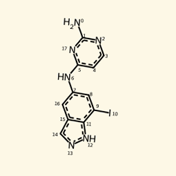 Nc1nccc(Nc2cc(I)c3[nH]ncc3c2)n1